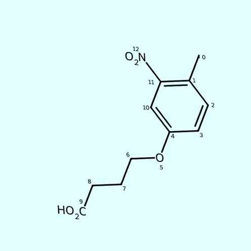 [CH2]c1ccc(OCCCC(=O)O)cc1[N+](=O)[O-]